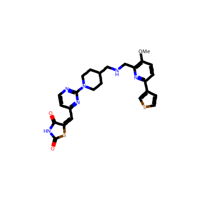 COc1ccc(-c2ccsc2)nc1CNCC1CCN(c2nccc(/C=C3/SC(=O)NC3=O)n2)CC1